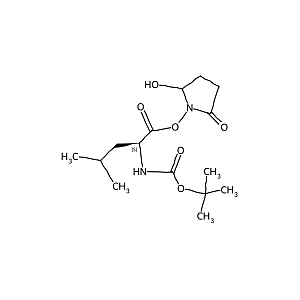 CC(C)C[C@H](NC(=O)OC(C)(C)C)C(=O)ON1C(=O)CCC1O